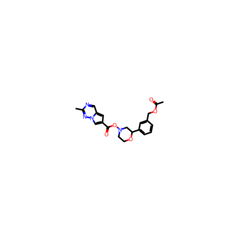 CC(=O)OCc1cccc(C2CN(OC(=O)c3cc4cnc(C)nn4c3)CCO2)c1